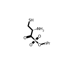 CCCOS(=O)(=O)C(=O)[C@@H](N)CS